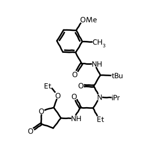 CCOC1OC(=O)CC1NC(=O)C(CC)N(C(=O)C(NC(=O)c1cccc(OC)c1C)C(C)(C)C)C(C)C